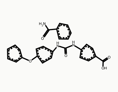 NC(=O)c1ccccc1.O=C(Nc1ccc(Oc2ccccc2)cc1)Nc1ccc(C(=O)O)cc1